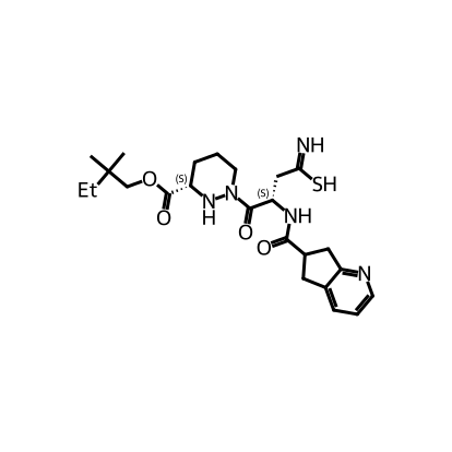 CCC(C)(C)COC(=O)[C@@H]1CCCN(C(=O)[C@H](CC(=N)S)NC(=O)C2Cc3cccnc3C2)N1